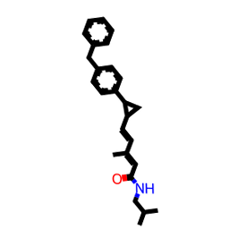 CC(/C=C/C1CC1c1ccc(Cc2ccccc2)cc1)=C\C(=O)NCC(C)C